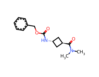 CN(C)C(=O)[C@H]1C[C@H](NC(=O)OCc2ccccc2)C1